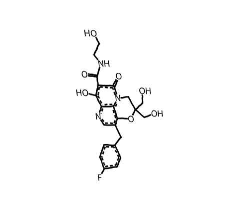 O=C(NCCO)c1c(O)c2ncc(Cc3ccc(F)cc3)c3c2n(c1=O)CC(CO)(CO)O3